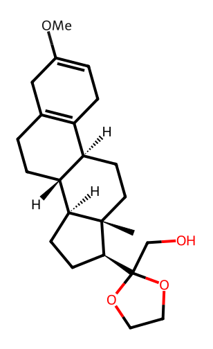 COC1=CCC2=C(CC[C@@H]3[C@@H]2CC[C@]2(C)[C@@H](C4(CO)OCCO4)CC[C@@H]32)C1